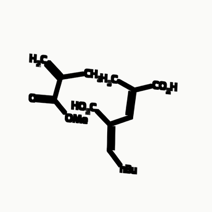 C=C(C)C(=O)OC.CCCCC=C(C=C(C)C(=O)O)C(=O)O